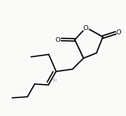 CCC/C=C(\CC)CC1CC(=O)OC1=O